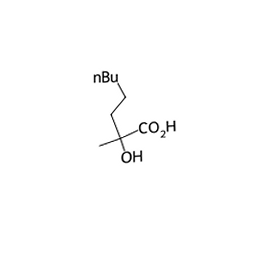 CCCCCCC(C)(O)C(=O)O